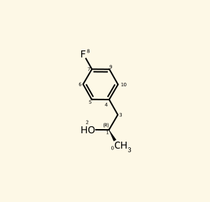 C[C@@H](O)Cc1ccc(F)cc1